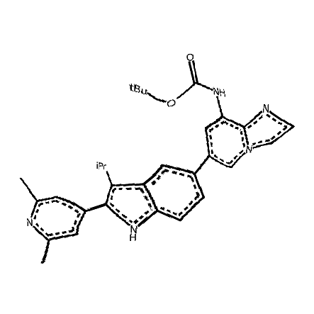 Cc1cc(-c2[nH]c3ccc(-c4cc(NC(=O)OC(C)(C)C)c5nccn5c4)cc3c2C(C)C)cc(C)n1